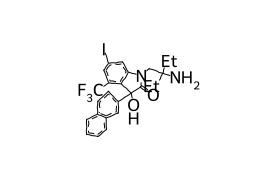 CCC(N)(CC)CN1C(=O)C(O)(c2ccc3ccccc3c2)c2c1cc(I)cc2C(F)(F)F